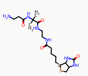 CC(C)(NC(=O)CCN)C(=O)NCCNC(=O)CCCC[C@@H]1SCC2NC(=O)NC21